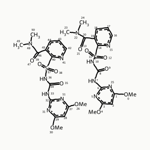 COc1cc(OC)nc(NC(=O)NS(=O)(=O)c2ncccc2C(=O)N(C)C)n1.COc1cc(OC)nc(NC(=O)NS(=O)(=O)c2ncccc2C(=O)N(C)C)n1